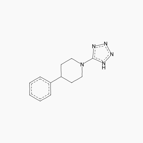 c1ccc(C2CCN(c3nnn[nH]3)CC2)cc1